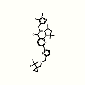 Cc1c(SNC(=O)c2ccc(-n3ccc(COCC4(C(F)(F)F)CC4)n3)nc2N2CC(C)CC2(C)C)cnn1C